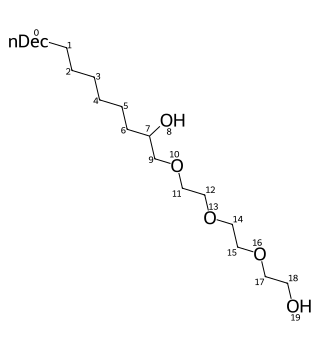 CCCCCCCCCCCCCCCCC(O)COCCOCCOCCO